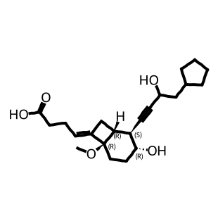 CO[C@]12CC[C@@H](O)[C@H](C#CC(O)CC3CCCC3)[C@H]1CC2=CCCC(=O)O